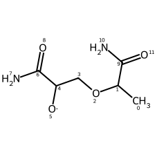 CC(OCC([O])C(N)=O)C(N)=O